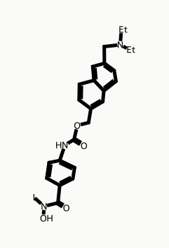 CCN(CC)Cc1ccc2cc(COC(=O)Nc3ccc(C(=O)N(O)I)cc3)ccc2c1